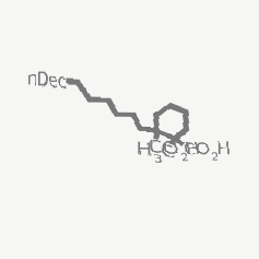 CCCCCCCCCCCCCCCCC1(C(=O)O)CCCCC1(C)C(=O)O